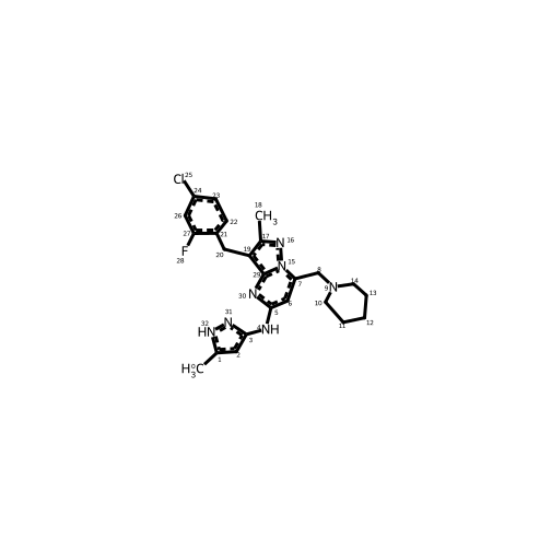 Cc1cc(Nc2cc(CN3CCCCC3)n3nc(C)c(Cc4ccc(Cl)cc4F)c3n2)n[nH]1